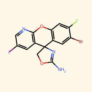 NC1=NC2(CO1)c1cc(Br)c(F)cc1Oc1ncc(I)cc12